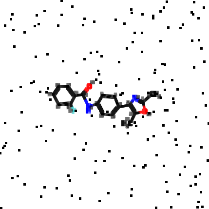 Cc1nc(-c2ccc(NC(=O)c3ccccc3F)cc2)c(C)o1